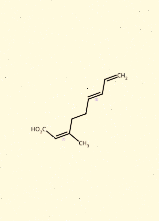 C=C/C=C/CC/C(C)=C\C(=O)O